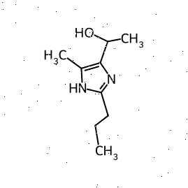 CCCc1nc(C(C)O)c(C)[nH]1